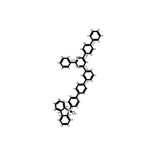 O=P1(c2ccc(-c3ccc(-c4cccc(-c5cc(-c6ccc(-c7ccccc7)cc6)nc(-c6ccccc6)n5)c4)cc3)cc2)c2ccccc2-c2ccccc21